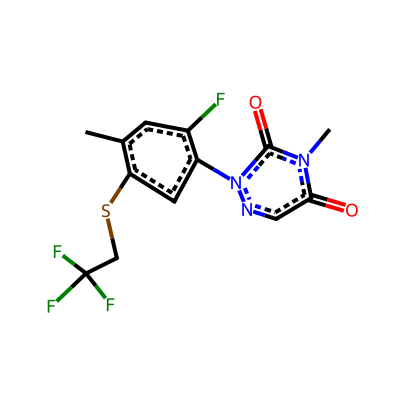 Cc1cc(F)c(-n2ncc(=O)n(C)c2=O)cc1SCC(F)(F)F